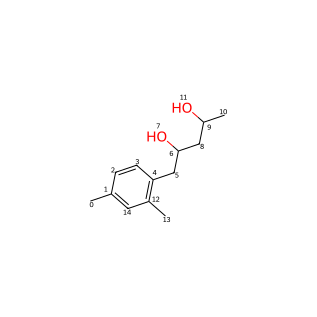 Cc1ccc(CC(O)CC(C)O)c(C)c1